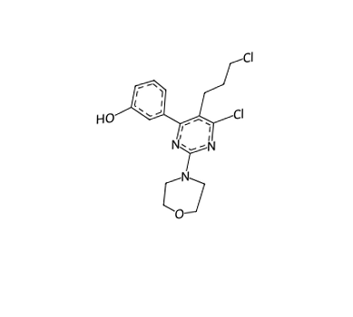 Oc1cccc(-c2nc(N3CCOCC3)nc(Cl)c2CCCCl)c1